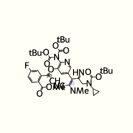 CN/C(C#N)=C(\C(=N)CN(C(=O)OC(C)(C)C)C1CC1)c1cnc(N(C(=O)OC(C)(C)C)C(=O)OC(C)(C)C)c(O[C@H](C)c2cc(F)ccc2C(=O)OC)c1